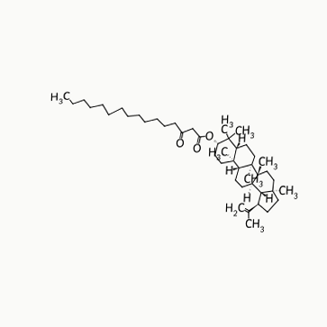 C=C(C)[C@@H]1CC[C@]2(C)CC[C@]3(C)[C@H](CC[C@@H]4[C@@]5(C)CC[C@H](OC(=O)CC(=O)CCCCCCCCCCCCC)C(C)(C)[C@@H]5CC[C@]43C)[C@@H]12